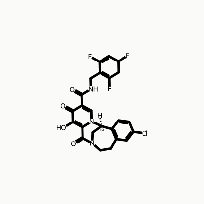 O=C(NCC1=C(F)CC(F)C=C1F)c1cn2c(c(O)c1=O)C(=O)N1CCc3cc(Cl)ccc3[C@H]2C1